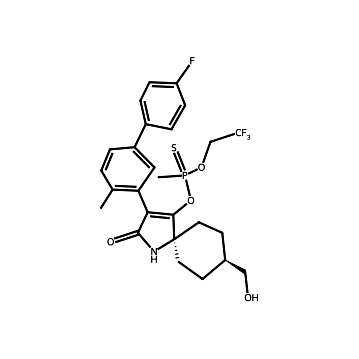 Cc1ccc(-c2ccc(F)cc2)cc1C1=C(OP(C)(=S)OCC(F)(F)F)[C@]2(CC[C@H](CO)CC2)NC1=O